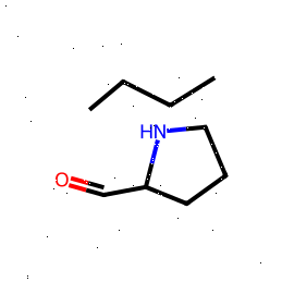 CCCC.O=CC1CCCN1